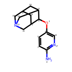 Nc1ccc(OC2C3CC4CC2CN(C4)C3)cn1